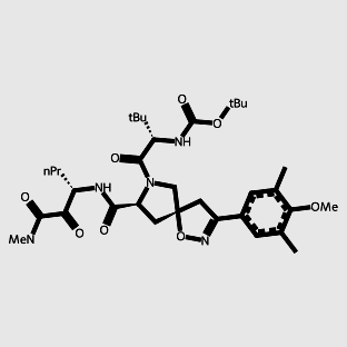 CCC[C@H](NC(=O)[C@@H]1C[C@]2(CC(c3cc(C)c(OC)c(C)c3)=NO2)CN1C(=O)[C@@H](NC(=O)OC(C)(C)C)C(C)(C)C)C(=O)C(=O)NC